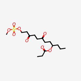 CCCC(CCC(=O)CCC(=O)CCOS(=O)(=O)OC)OC(=O)CC